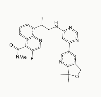 CNC(=O)c1c(F)cnc2c([C@H](C)CNc3cc(-c4cnc5c(c4)COC5(C)C)ncn3)cccc12